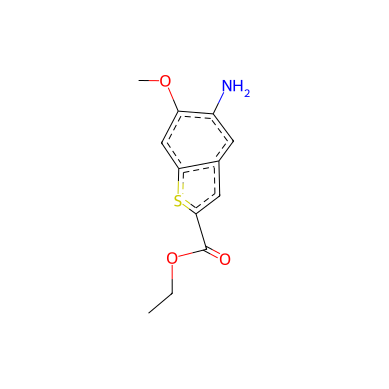 CCOC(=O)c1cc2cc(N)c(OC)cc2s1